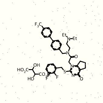 CCN(CC)CCN(Cc1ccc(-c2ccc(C(F)(F)F)cc2)cc1)C(=O)Cn1c(SCc2cccc(F)c2F)nc(=O)c2c1CCC2.O=C(O)C(O)C(O)C(=O)O